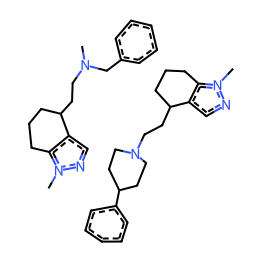 CN(CCC1CCCc2c1cnn2C)Cc1ccccc1.Cn1ncc2c1CCCC2CCN1CCC(c2ccccc2)CC1